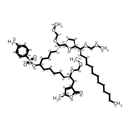 CCCCCCCCCCCC[C@H](OCOC)[C@@H]1CC[C@@H]([C@H](CCCCC(CCCCC[C@H](CC2=C[C@H](C)OC2=O)OCOC)OS(=O)(=O)c2ccc(C)cc2)OCOC)O1